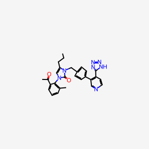 CCCc1cn(-c2c(C)cccc2C(C)=O)c(=O)n1Cc1ccc(-c2cnccc2-c2nnn[nH]2)cc1